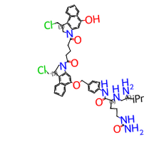 CC(C)[C@H](N)CN[C@@H](CCCNC(N)=O)C(=O)Nc1ccc(COc2cc3c(c4ccccc24)[C@H](CCl)CN3C(=O)CCCC(=O)N2C[C@@H](CCl)c3c2cc(O)c2ccccc32)cc1